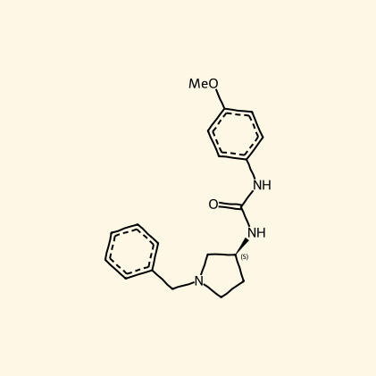 COc1ccc(NC(=O)N[C@H]2CCN(Cc3ccccc3)C2)cc1